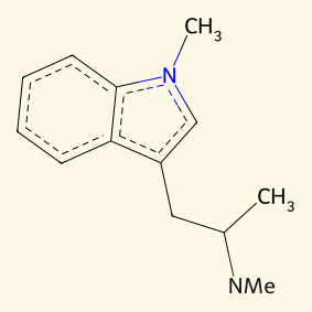 CNC(C)Cc1cn(C)c2ccccc12